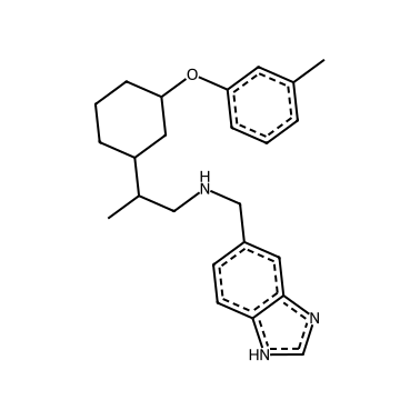 Cc1cccc(OC2CCCC(C(C)CNCc3ccc4[nH]cnc4c3)C2)c1